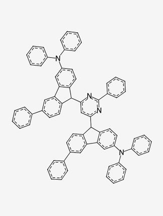 c1ccc(-c2ccc3c(c2)-c2cc(N(c4ccccc4)c4ccccc4)ccc2C3c2cc(C3c4ccc(-c5ccccc5)cc4-c4cc(N(c5ccccc5)c5ccccc5)ccc43)nc(-c3ccccc3)n2)cc1